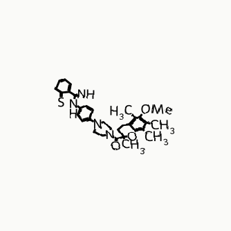 COc1c(C)c(C)c2c(c1C)CCC(C)(C(=O)N1CCN(c3ccc(NC(=N)C4=CC=CCC4=S)cc3)CC1)O2